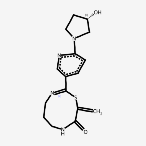 C=C1S/C(c2ccc(N3CC[C@H](O)C3)nc2)=N\CCCNC1=O